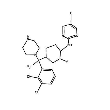 CC(c1cccc(Cl)c1Cl)(C1CCC(Nc2ncc(F)cn2)C(F)C1)N1CCNCC1